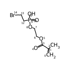 C=C(C)C(=O)OCCOP(=O)(O)CCBr